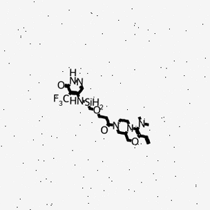 C=CC1=C(N(C)C)N2CCN(C(=O)CCOC[SiH2]Nc3cn[nH]c(=O)c3C(F)(F)F)CC2CO1